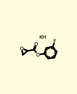 O=C(Oc1cccc(F)c1)C1CO1.[KH]